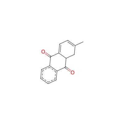 CC1=CC=C2C(=O)c3ccccc3C(=O)C2C1